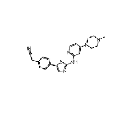 CN1CCN(c2ccnc(Nc3ncc(-c4ccc(CC#N)cc4)s3)c2)CC1